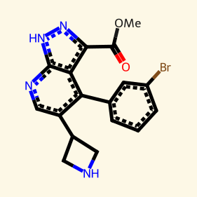 COC(=O)c1n[nH]c2ncc(C3CNC3)c(-c3cccc(Br)c3)c12